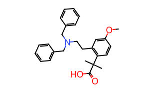 COc1ccc(C(C)(C)C(=O)O)c(CCN(Cc2ccccc2)Cc2ccccc2)c1